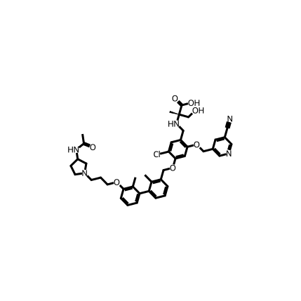 CC(=O)NC1CCN(CCCOc2cccc(-c3cccc(COc4cc(OCc5cncc(C#N)c5)c(CN[C@@](C)(CO)C(=O)O)cc4Cl)c3C)c2C)C1